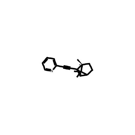 CC1(C)C2C=C(C#Cc3ccccn3)[C@]1(C)CC2